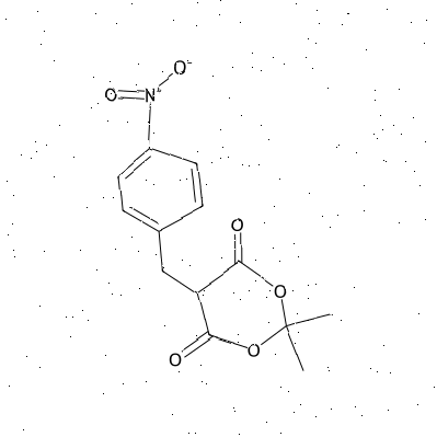 CC1(C)OC(=O)C(Cc2ccc([N+](=O)[O-])cc2)C(=O)O1